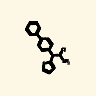 [SiH3]C(Cl)C(c1ccc(-c2ccccc2)cc1)c1cccs1